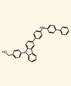 OCc1ccc(-n2c3ccccc3c3cc(-c4ccc(Nc5ccc(-c6ccccc6)cc5)cc4)ccc32)cc1